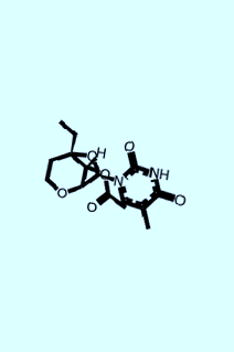 CC[C@@]12CCOC([C@H](n3cc(C)c(=O)[nH]c3=O)O1)[C@H]2OC(C)=O